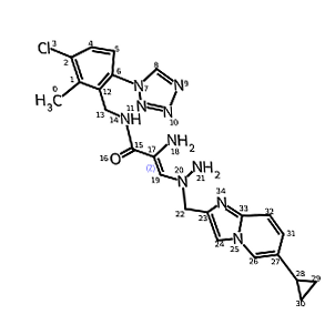 Cc1c(Cl)ccc(-n2cnnn2)c1CNC(=O)/C(N)=C/N(N)Cc1cn2cc(C3CC3)ccc2n1